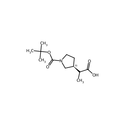 CC(C(=O)O)[C@@H]1CCN(C(=O)OC(C)(C)C)C1